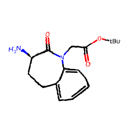 CC(C)(C)OC(=O)CN1C(=O)[C@H](N)CCc2ccccc21